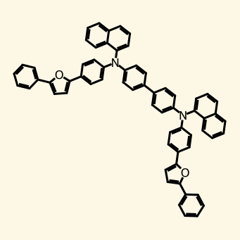 c1ccc(-c2ccc(-c3ccc(N(c4ccc(-c5ccc(N(c6ccc(-c7ccc(-c8ccccc8)o7)cc6)c6cccc7ccccc67)cc5)cc4)c4cccc5ccccc45)cc3)o2)cc1